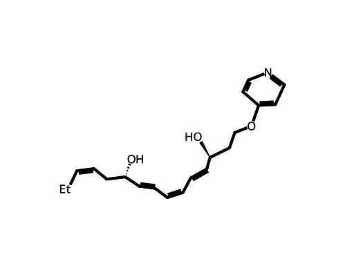 CC/C=C\C[C@H](O)/C=C/C=C\C=C\[C@@H](O)CCOc1ccncc1